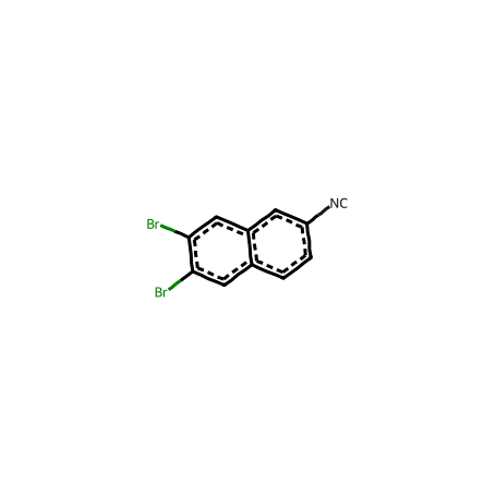 [C-]#[N+]c1ccc2cc(Br)c(Br)cc2c1